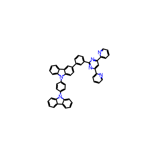 c1ccc(-c2cc(-c3ccccn3)nc(-c3cccc(-c4ccc5c(c4)c4ccccc4n5-c4ccc(-n5c6ccccc6c6ccccc65)cc4)c3)n2)nc1